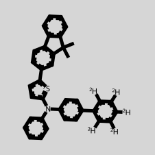 [2H]c1c([2H])c([2H])c(-c2ccc(N(c3ccccc3)c3ccc(-c4ccc5c(c4)C(C)(C)c4ccccc4-5)s3)cc2)c([2H])c1[2H]